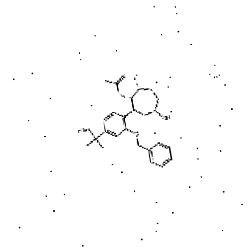 C=C(C)C[C@@H]1[C@H](C)CC[C@@H](O)C[C@H]1c1ccc(C(C)(C)CCCCCC)cc1OCc1ccccc1